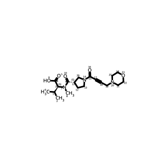 CC(C)[C@@H](C(=O)O)N(C)C(=O)[C@H]1CCN(C(=O)C#CCN2CCOCC2)C1